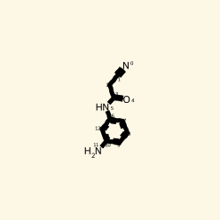 N#CCC(=O)Nc1cccc(N)c1